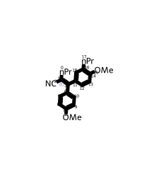 CCC/C(C#N)=C(/c1ccc(OC)cc1)c1ccc(OC)c(CCC)c1